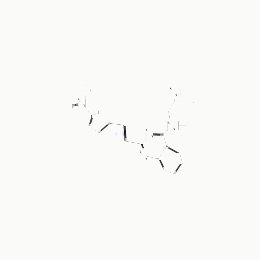 NCCNc1nc(/C=C/c2ccc([N+](=O)[O-])o2)nc2ccccc12